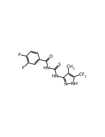 Cc1c(NC(=S)NC(=O)c2ccc(F)c(F)c2)n[nH]c1C(F)(F)F